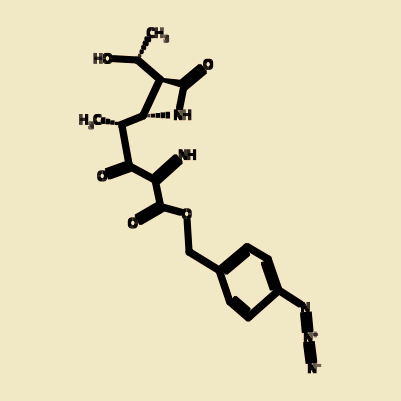 C[C@@H](O)[C@H]1C(=O)N[C@@H]1[C@@H](C)C(=O)C(=N)C(=O)OCc1ccc(N=[N+]=[N-])cc1